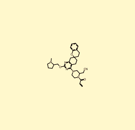 C=CC(=O)N1CCN(c2nc(OCC3CCCN3C)nc3c2CCC2(CCc4ccccc4O2)C3)CC1CC#N